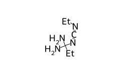 CCN=C=NC(N)(N)CC